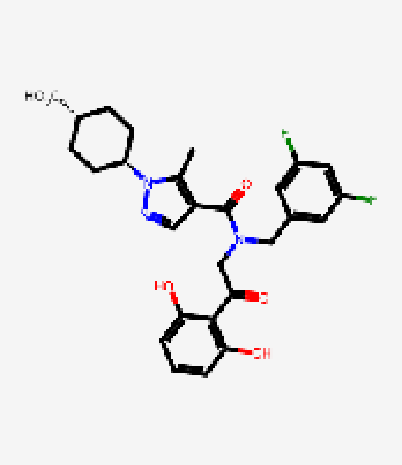 Cc1c(C(=O)N(CC(=O)c2c(O)cccc2O)Cc2cc(F)cc(F)c2)cnn1[C@H]1CC[C@H](C(=O)O)CC1